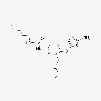 CCCCCNC(=O)Nc1ccc(Oc2cnc(N)s2)c(COCC)c1